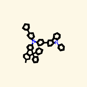 CC1C=CC2=C(C1)C(c1ccccc1)(c1ccccc1)c1cc(N(c3ccc(-c4ccccc4)cc3)c3ccc(-c4ccc5c(c4)c4ccccc4n5-c4ccccc4)cc3)ccc12